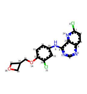 Clc1ccc2ncnc(Nc3ccc(OCC4COC4)c(Cl)c3)c2n1